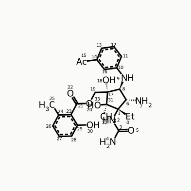 CC[C@]1(NC(N)=O)[C@@H](N)[C@H](Nc2cccc(C(C)=O)c2)[C@](O)(COC(=O)c2c(C)cccc2O)[C@]1(C)O